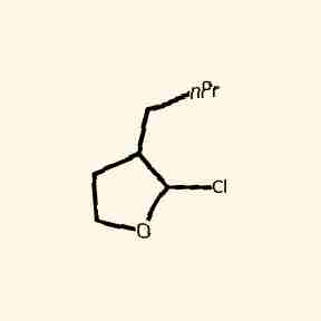 CCCCC1CCOC1Cl